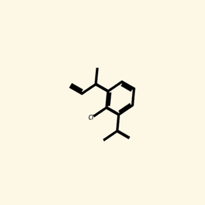 C=C[C](C)c1cccc(C(C)C)c1Cl